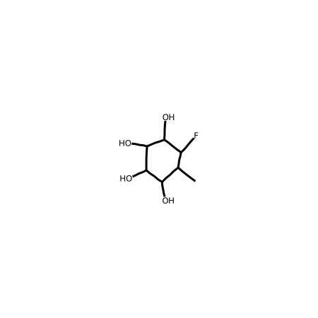 CC1C(O)C(O)C(O)C(O)C1F